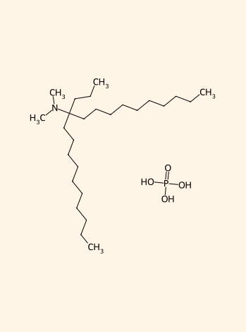 CCCCCCCCCCC(CCC)(CCCCCCCCCC)N(C)C.O=P(O)(O)O